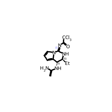 C=C(N)N[C@@H]1c2cccn2/C(=N/C(=O)C(Cl)(Cl)Cl)N[C@H]1CC